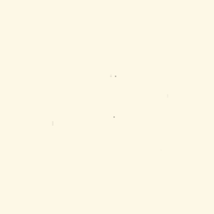 O=c1c(O)c(-c2ccc(O)c(O)c2)oc2cc(O)cc(O)c12.[Ru]